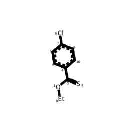 CCOC(=S)c1ccc(Cl)cc1